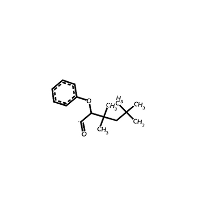 CC(C)(C)CC(C)(C)C([C]=O)Oc1ccccc1